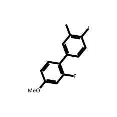 COc1ccc(-c2ccc(I)c(C)c2)c(F)c1